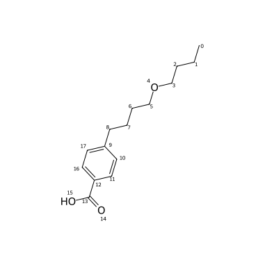 CCCCOCCCCc1ccc(C(=O)O)cc1